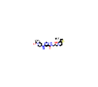 CC(=O)N1CCC(Nc2cc(C(=O)NC[C@H](O)CN3CCc4scc(C)c4C3)ncn2)CC1